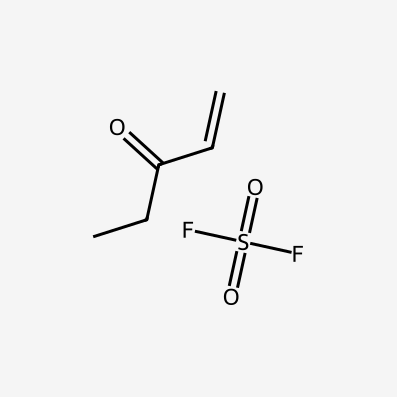 C=CC(=O)CC.O=S(=O)(F)F